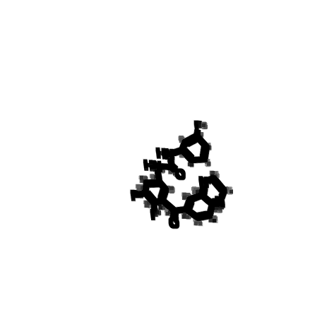 O=C(Nc1cccc(F)c1)Nc1cc(F)c(F)c(C(=O)c2ccc3nccnc3c2)c1